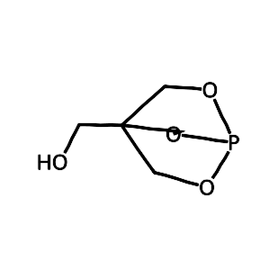 OCC12COP(OC1)OC2